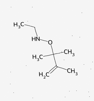 C=C(C)C(C)(C)ONCC